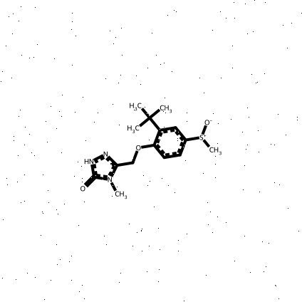 Cn1c(COc2ccc([S+](C)[O-])cc2C(C)(C)C)n[nH]c1=O